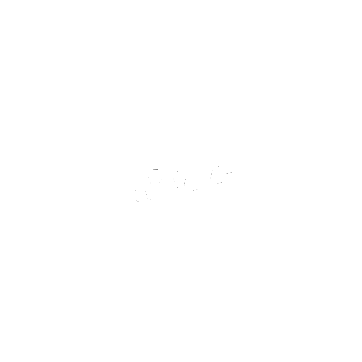 CC(C)n1ncnc1-c1cc2c(cn1)OCCn1c-2nc2ccc(-c3ccc(=O)[nH]c3)cc21